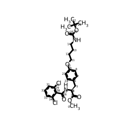 COC(=O)[C@H](Cc1ccc(OCCCCNC(=O)OC(C)(C)C)cc1)NC(=O)c1c(Cl)cccc1Cl